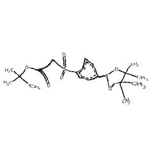 CC(C)(C)OC(=O)CS(=O)(=O)c1ccc(B2OC(C)(C)C(C)(C)O2)cc1